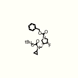 CC(C)(C)OC(=O)N(C[C@@H]1CN(C(=O)OCc2ccccc2)C[C@@H]1F)C1CC1